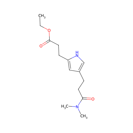 CCOC(=O)CCc1cc(CCC(=O)N(C)C)c[nH]1